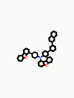 c1cc(-c2ccc(N(c3cccc4oc5ccccc5c34)C3CCC(c4cccc5c4oc4ccccc45)CC3)cc2)cc(-c2ccc3ccccc3c2)c1